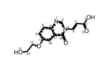 O=C(O)/C=C/n1cnc2ccc(OCCO)cc2c1=O